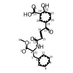 COC(=O)[C@H](Cc1ccccc1)NC(=O)C=CC(=O)c1ccc(O)c(C(=O)O)c1